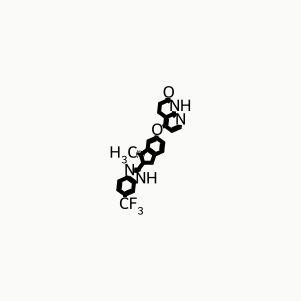 C[C@H]1c2cc(Oc3ccnc4c3CCC(=O)N4)ccc2CC1c1nc2ccc(C(F)(F)F)cc2[nH]1